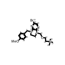 COc1ccc(CN2CCN(COCC[Si](C)(C)C)c3ncc(Br)nc32)cc1